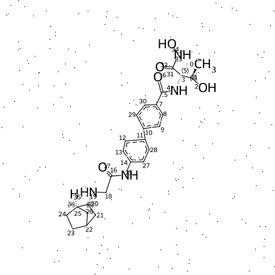 C[C@@H](O)[C@H](NC(=O)c1ccc(-c2ccc(NC(=O)CN[C@@H]3CC4CC[C@@H]3C4)cc2)cc1)C(=O)NO